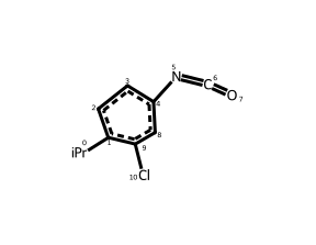 CC(C)c1ccc(N=C=O)cc1Cl